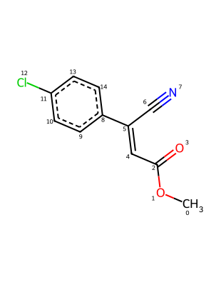 COC(=O)C=C(C#N)c1ccc(Cl)cc1